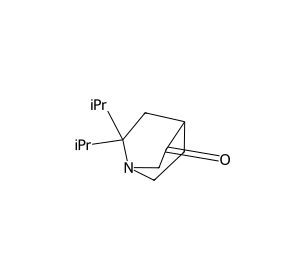 CC(C)C1(C(C)C)CC2CCN1CC2=O